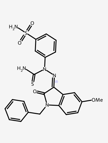 COc1ccc2c(c1)/C(=N/N(C(N)=S)c1cccc(S(N)(=O)=O)c1)C(=O)N2Cc1ccccc1